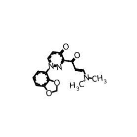 CN(C)C=CC(=O)c1nn(-c2cccc3c2OCO3)ccc1=O